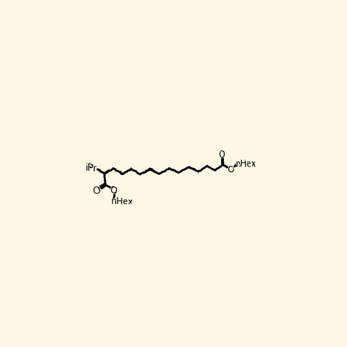 CCCCCCOC(=O)CCCCCCCCCCCCC(C(=O)OCCCCCC)C(C)C